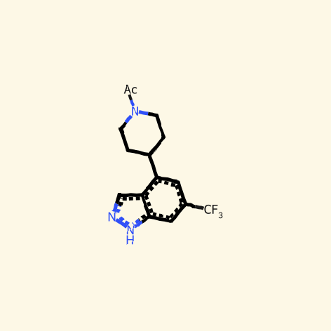 CC(=O)N1CCC(c2cc(C(F)(F)F)cc3[nH]ncc23)CC1